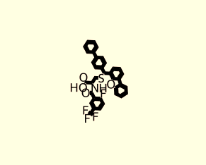 O=C(NC(CSC(c1ccc(-c2ccccc2)cc1)c1cccc2c1oc1ccccc12)C(=O)O)c1cc(C(F)(F)F)ccc1F